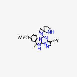 COc1cccc([C@H](C)Nc2nc(N3CCC34CCCNC4)nc3c(C(C)C)cnn23)c1